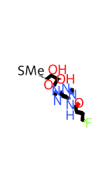 CSC[C@H]1O[C@@H](n2cnc3c(NC(=O)/C=C/CF)ncnc32)[C@H](O)[C@@H]1O